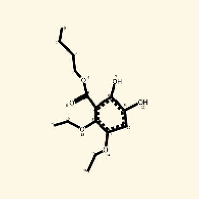 CCCCOC(=O)c1c(O)c(O)cc(OCC)c1OCC